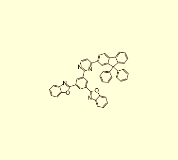 c1ccc(C2(c3ccccc3)c3ccccc3-c3ccc(-c4ccnc(-c5cc(-c6nc7ccccc7o6)cc(-c6nc7ccccc7o6)c5)n4)cc32)cc1